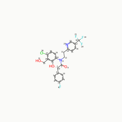 O=C([C@@H](O)c1ccc(F)cc1)N(CCc1ccc(C(F)(F)F)cn1)c1ccc(Cl)c(CO)c1